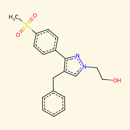 CS(=O)(=O)c1ccc(-c2nn(CCO)cc2Cc2ccccc2)cc1